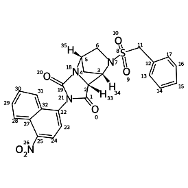 O=C1[C@H]2[C@@H]3C[C@@H](CN3S(=O)(=O)Cc3ccccc3)N2C(=O)N1c1ccc([N+](=O)[O-])c2ccccc12